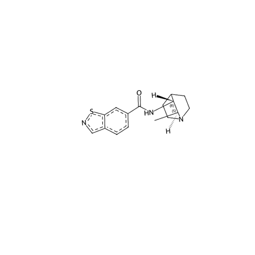 C[C@H]1[C@H](NC(=O)c2ccc3cnsc3c2)C2CCN1CC2